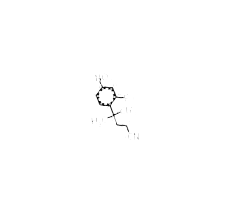 CC(C)(CCC#N)c1ccc([N+](=O)[O-])cc1F